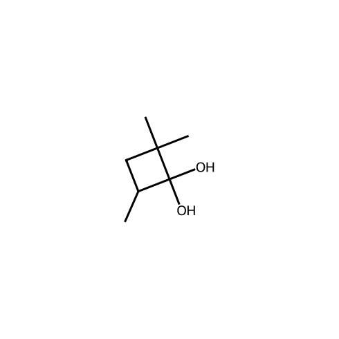 CC1CC(C)(C)C1(O)O